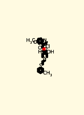 COc1ccc2ncc(Cl)c([C@H](O)CCC3(C(=O)O)CCN(CCCSc4cccc(C)c4)CC3)c2c1